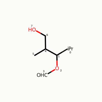 CC(C)C(OC=O)C(C)CO